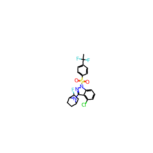 CC(F)(F)c1ccc(S(=O)(=O)n2nc(N3C4CCC3C(F)C4)c3c(Cl)cccc32)cc1